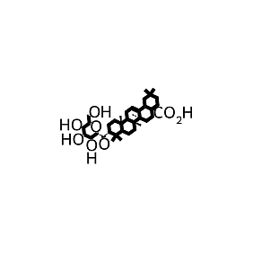 CC1(C)CC[C@]2(C(=O)O)CC[C@]3(C)C(=CCC4[C@@]5(C)CC[C@@H](C(=O)[C@H]6OC(CO)[C@@H](O)C(O)C6O)C(C)(C)C5CC[C@]43C)C2C1